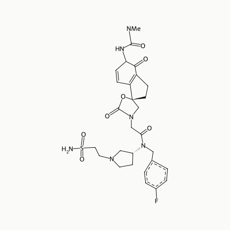 CNC(=O)NC1C=CC2=C(CC[C@]23CN(CC(=O)N(Cc2ccc(F)cc2)[C@@H]2CCN(CCS(N)(=O)=O)C2)C(=O)O3)C1=O